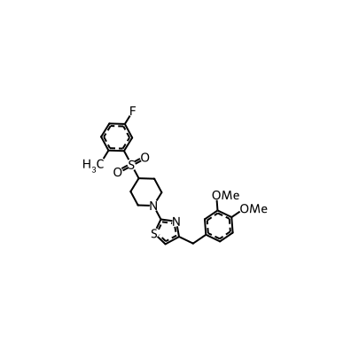 COc1ccc(Cc2csc(N3CCC(S(=O)(=O)c4cc(F)ccc4C)CC3)n2)cc1OC